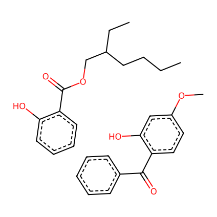 CCCCC(CC)COC(=O)c1ccccc1O.COc1ccc(C(=O)c2ccccc2)c(O)c1